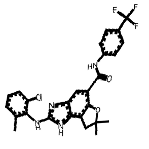 Cc1cccc(Cl)c1Nc1nc2cc(C(=O)Nc3ccc(C(F)(F)F)cc3)c3c(c2[nH]1)CC(C)(C)O3